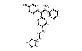 O=[N+]([O-])/C(=C(\c1ccc(O)cc1)c1ccc(OCCN2CCCC2)cc1)c1ccccc1